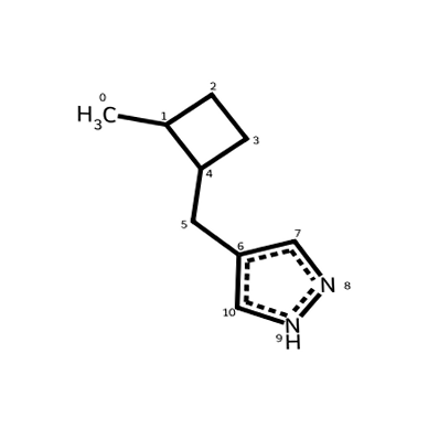 CC1CCC1Cc1cn[nH]c1